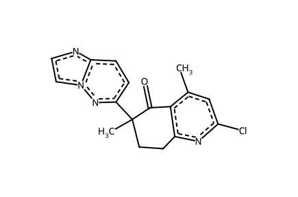 Cc1cc(Cl)nc2c1C(=O)C(C)(c1ccc3nccn3n1)CC2